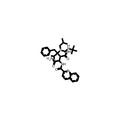 CC(C)CN(C(=O)NC(C)(C)C)C(Cc1ccccc1)(C(C)O)C(C(N)=O)C(NC(=O)c1ccc2ccccc2n1)C(N)=O